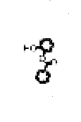 O=C(Oc1ccccc1O)c1ccccc1